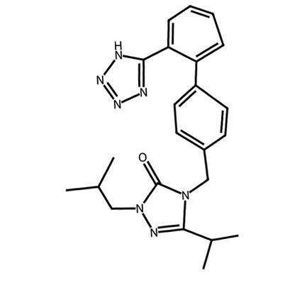 CC(C)Cn1nc(C(C)C)n(Cc2ccc(-c3ccccc3-c3nnn[nH]3)cc2)c1=O